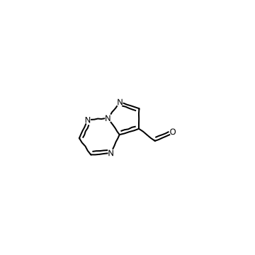 O=Cc1cnn2nccnc12